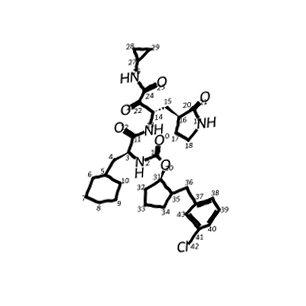 O=C(N[C@@H](CC1CCCCC1)C(=O)N[C@@H](C[C@@H]1CCNC1=O)C(=O)C(=O)NC1CC1)O[C@@H]1CCCC1Cc1cccc(Cl)c1